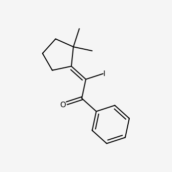 CC1(C)CCCC1=C(I)C(=O)c1ccccc1